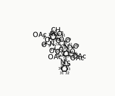 CC(=O)OCOC(=O)CN(CC(=O)OCOC(C)=O)c1ccc(C)cc1OCCOc1cc(-c2nc3ccccc3s2)c(OC(C)=O)cc1N(CC(=O)OCOC(C)=O)CC(=O)OCOC(C)=O